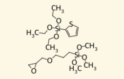 CCO[Si](OCC)(OCC)c1cccs1.CO[Si](CCCOCC1CO1)(OC)OC